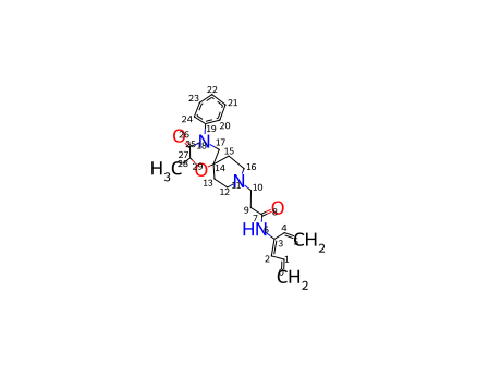 C=C/C=C(\C=C)NC(=O)CCN1CCC2(CC1)CN(c1ccccc1)C(=O)C(C)O2